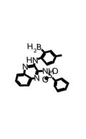 Bc1cc(C)ccc1Nc1nc2ccccc2nc1NS(=O)(=O)c1ccccc1